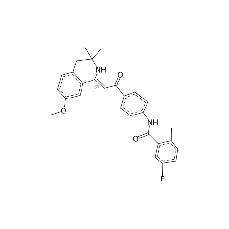 COc1ccc2c(c1)/C(=C/C(=O)c1ccc(NC(=O)c3cc(F)ccc3C)cc1)NC(C)(C)C2